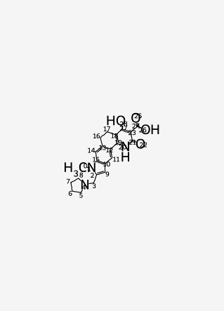 Cn1c(CN2CCCC2)cc2cc3c(cc21)CCc1c-3[nH]c(=O)c(C(=O)O)c1O